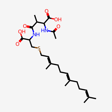 CC(=O)NC(C(=O)O)C(C)C(=O)NC(CSC/C=C(\C)CC/C=C(\C)CCC=C(C)C)C(=O)O